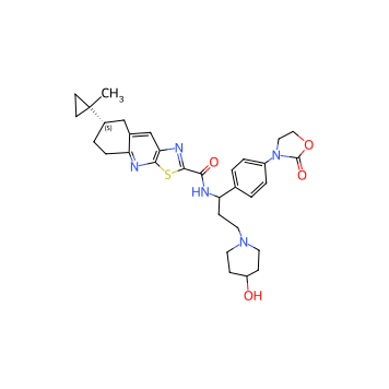 CC1([C@H]2CCc3nc4sc(C(=O)NC(CCN5CCC(O)CC5)c5ccc(N6CCOC6=O)cc5)nc4cc3C2)CC1